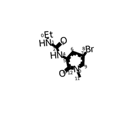 CCNC(=O)Nc1cc(Br)cn(C)c1=O